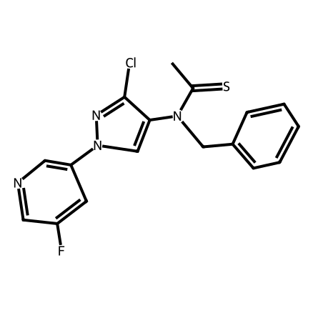 CC(=S)N(Cc1ccccc1)c1cn(-c2cncc(F)c2)nc1Cl